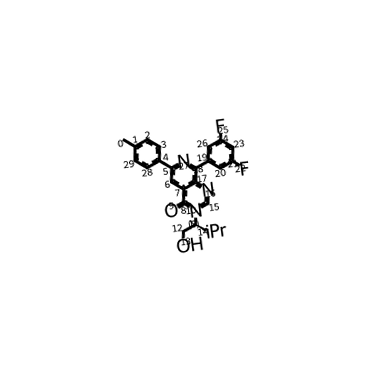 Cc1ccc(-c2cc3c(=O)n([C@H](CO)C(C)C)cnc3c(-c3cc(F)cc(F)c3)n2)cc1